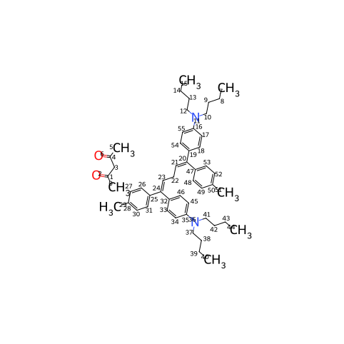 CC(=O)CC(C)=O.CCCCN(CCCC)c1ccc(C(=CCC=C(c2ccc(C)cc2)c2ccc(N(CCCC)CCCC)cc2)c2ccc(C)cc2)cc1